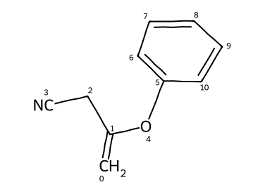 C=C(CC#N)Oc1ccccc1